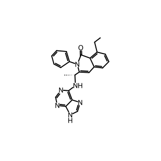 CCc1cccc2cc([C@@H](C)Nc3ncnc4[nH]cnc34)n(-c3ccccc3)c(=O)c12